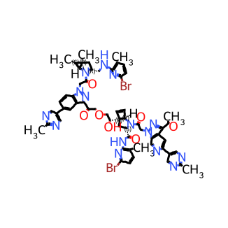 CC(=O)c1nn(CC(=O)N2[C@H](C(=O)Nc3nc(Br)ccc3C)C[C@@]3(C(O)COCC(=O)c4nn(CC(=O)N5[C@@H](CNc6nc(Br)ccc6C)C[C@]6(C)[C@H](C)[C@H]56)c5ccc(-c6cnc(C)nc6)cc45)C=C[C@@H]23)c2cnc(-c3cnc(C)nc3)cc12